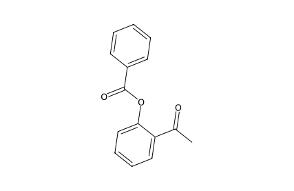 CC(=O)c1ccccc1OC(=O)c1ccccc1